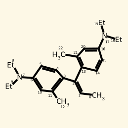 CC=C(c1ccc(N(CC)CC)cc1C)c1ccc(N(CC)CC)cc1C